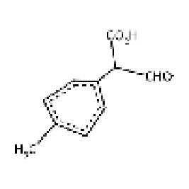 Cc1ccc(C([C]=O)C(=O)O)cc1